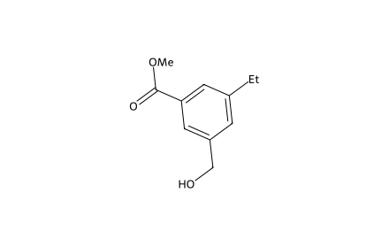 CCc1cc(CO)cc(C(=O)OC)c1